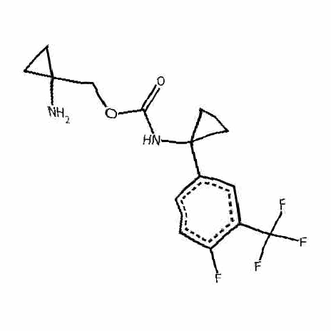 NC1(COC(=O)NC2(c3ccc(F)c(C(F)(F)F)c3)CC2)CC1